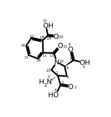 N[C@@]1(C(=O)O)C[C@H](C(=O)O)N(C(=O)c2ccccc2C(=O)O)C1